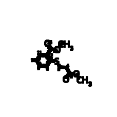 COC(=O)CCSc1ccccc1C(=O)OC